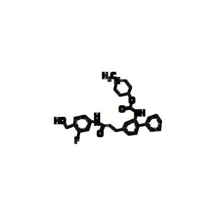 CN1CCC(OC(=O)Nc2cc(CCC(=O)Nc3ccc(CO)c(F)c3)ccc2-c2ccccc2)CC1